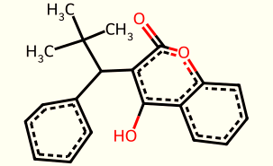 CC(C)(C)C(c1ccccc1)c1c(O)c2ccccc2oc1=O